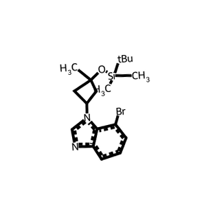 CC1(O[Si](C)(C)C(C)(C)C)CC(n2cnc3cccc(Br)c32)C1